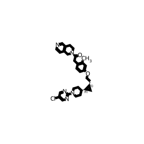 Cc1cc(OCC[C@@H]2C[C@@H]2C2CCN(c3ncc(Cl)cn3)CC2)ccc1CC(=O)N1CCc2cnccc2C1